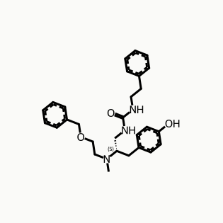 CN(CCOCc1ccccc1)[C@H](CNC(=O)NCCc1ccccc1)Cc1ccc(O)cc1